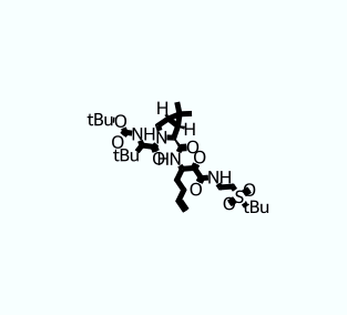 C=CCCC(NC(=O)[C@@H]1[C@@H]2[C@H](CN1C(=O)C(NC(=O)OC(C)(C)C)C(C)(C)C)C2(C)C)C(=O)C(=O)NCCS(=O)(=O)C(C)(C)C